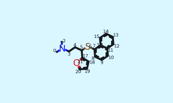 CN(C)CCC(Sc1cccc2ccccc12)c1ccco1